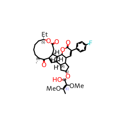 CC[C@H]1CCCC[C@@H](C)C(=O)C2=C[C@@H]3[C@@H](C4OC(=O)C(c5ccc(F)cc5)=CC4C4C[C@@H](O[C@H](O)/C(OC)=C(/C)OC)C[C@H]43)[C@@H]2CC(=O)O1